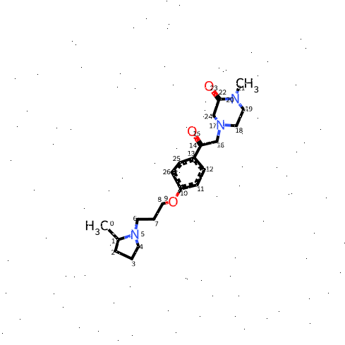 CC1CCCN1CCCOc1ccc(C(=O)CN2CCN(C)C(=O)C2)cc1